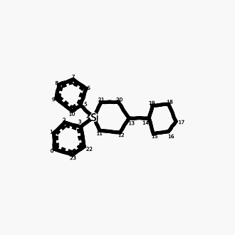 c1ccc([Si]2(c3ccccc3)CCC(C3CCCCC3)CC2)cc1